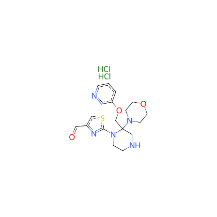 Cl.Cl.O=Cc1csc(N2CCNCC2(COc2cccnc2)N2CCOCC2)n1